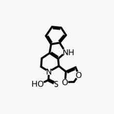 OC(=S)N1CCc2c([nH]c3ccccc23)C1C1=COCO1